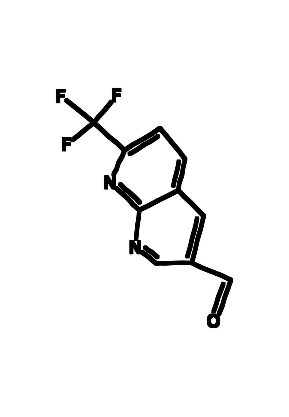 O=Cc1cnc2nc(C(F)(F)F)ccc2c1